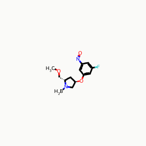 BN1C[C@H](Oc2cc(F)cc(N=O)c2)C[C@H]1COC